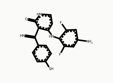 N=C(c1ccc(S)cc1)c1c(Nc2c(F)cc(N)cc2F)cc[nH]c1=O